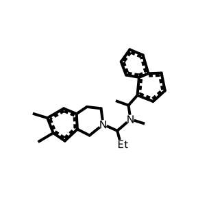 CCC(N1CCc2cc(C)c(C)cc2C1)N(C)C(C)c1cccc2ccccc12